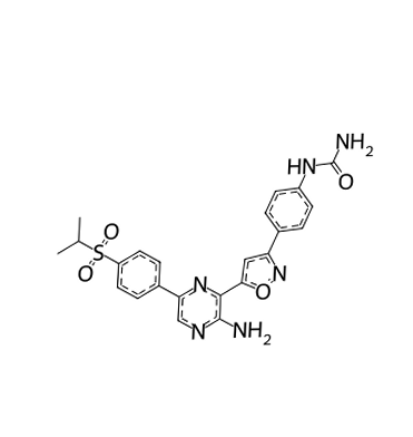 CC(C)S(=O)(=O)c1ccc(-c2cnc(N)c(-c3cc(-c4ccc(NC(N)=O)cc4)no3)n2)cc1